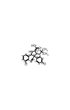 CC(C)(C)CC1C(C(=O)O)NC(c2cccc(Cl)c2)C1(C#N)c1ccc(Cl)cc1